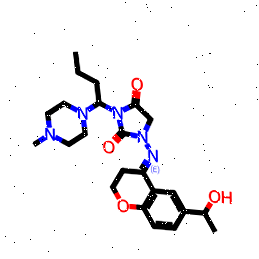 CCCC(N1CCN(C)CC1)N1C(=O)CN(/N=C2\CCOc3ccc(C(C)O)cc32)C1=O